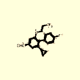 O=Cc1cc(OCCC(F)(F)F)c(-c2ccc(F)cc2)c(C2CC2)c1